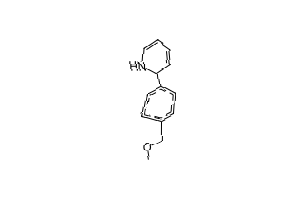 COCc1ccc(C2C=CC=CN2)cc1